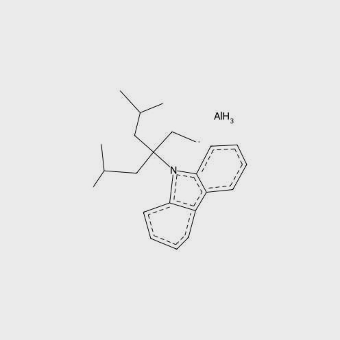 [AlH3].[CH2]CC(CC(C)C)(CC(C)C)n1c2ccccc2c2ccccc21